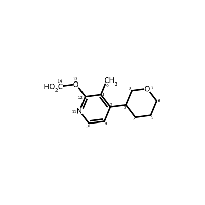 Cc1c(C2CCCOC2)ccnc1OC(=O)O